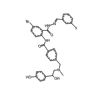 CN(Cc1ccc(C(=O)Nc2ccc(Br)cc2C(=O)NN=Cc2cccc(F)c2)cc1)CC(O)c1ccc(O)cc1